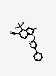 Cc1cc2c(C(F)(F)F)c(C#N)ccc2n1Cc1cc(-c2ccccc2)no1